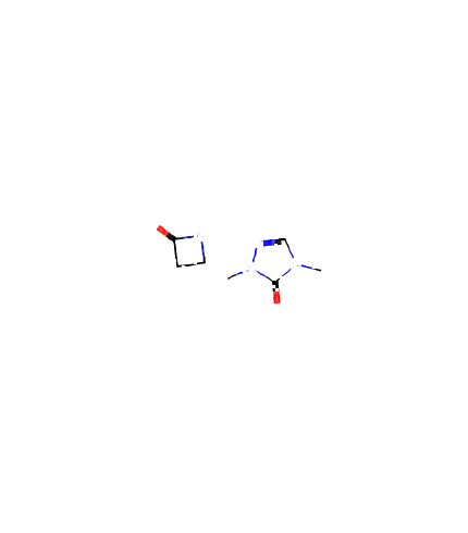 Cn1cnn(C[C@H]2NC(=O)[C@H]2N)c1=O